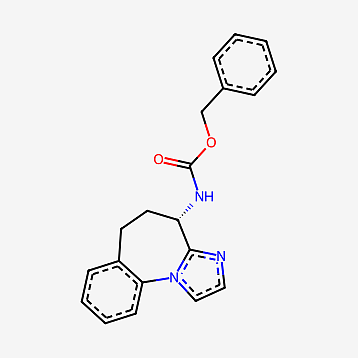 O=C(N[C@H]1CCc2ccccc2-n2ccnc21)OCc1ccccc1